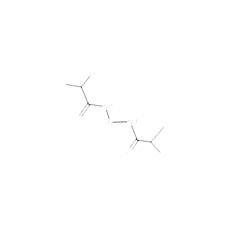 O=C(NNNC(=O)C(Br)Br)C(Br)Br